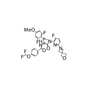 COc1cc(F)c([C@@H]2CN(c3nc(N4CC5(COC5)C4)ccc3F)C(=O)[C@H]2NC(=O)c2ccc(OC(F)F)cc2)c(F)c1